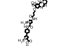 COc1cc2c(cc1OCCCC(=O)Nc1cc(C(=O)Nc3ccc(-c4cc(C(=O)O)n(C)c4)cc3)n(C)c1)N=C[C@@H]1CCCCN1C2=O